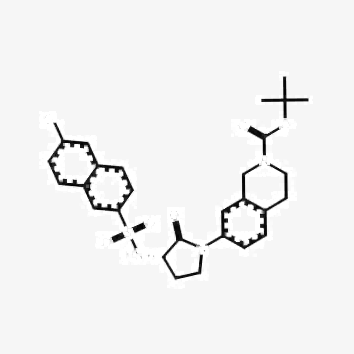 CC(C)(C)OC(=O)N1CCc2ccc(N3CC[C@H](NS(=O)(=O)c4ccc5cc(Cl)ccc5c4)C3=O)cc2C1